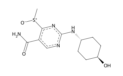 C[S+]([O-])c1nc(N[C@H]2CC[C@H](O)CC2)ncc1C(N)=O